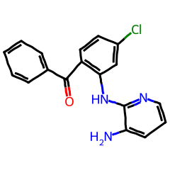 Nc1cccnc1Nc1cc(Cl)ccc1C(=O)c1ccccc1